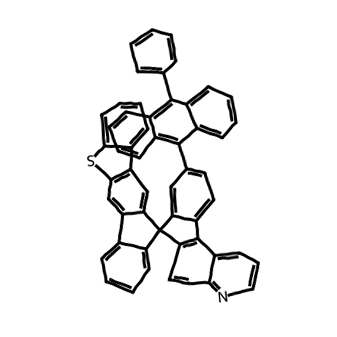 c1ccc(-c2c3ccccc3c(-c3ccc4c(c3)C3(c5ccccc5-c5cc6sc7ccccc7c6cc53)c3ccc5ncccc5c3-4)c3ccccc23)cc1